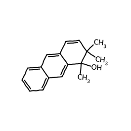 CC1(C)C=Cc2cc3ccccc3cc2C1(C)O